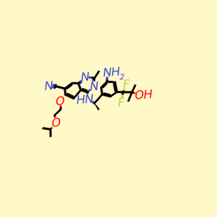 Cc1nc(N[C@H](C)c2cc(N)cc(C(F)(F)C(C)(C)O)c2)c2cc(OCCOC(C)C)c(C#N)cc2n1